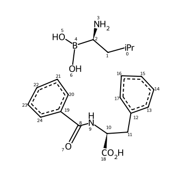 CC(C)C[C@H](N)B(O)O.O=C(N[C@@H](Cc1ccccc1)C(=O)O)c1ccccc1